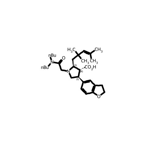 CCCCN(CCCC)C(=O)CN1C[C@H](c2ccc3c(c2)CCO3)[C@@H](C(=O)O)[C@@H]1CC(C)(C)C=C(C)C